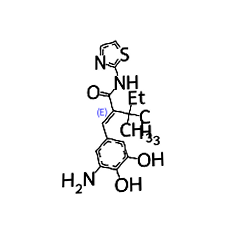 CCC(C)(C)/C(=C\c1cc(N)c(O)c(O)c1)C(=O)Nc1nccs1